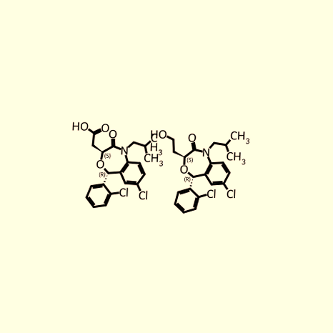 CC(C)CN1C(=O)[C@H](CC(=O)O)O[C@@H](c2ccccc2Cl)c2cc(Cl)ccc21.CC(C)CN1C(=O)[C@H](CCO)O[C@@H](c2ccccc2Cl)c2cc(Cl)ccc21